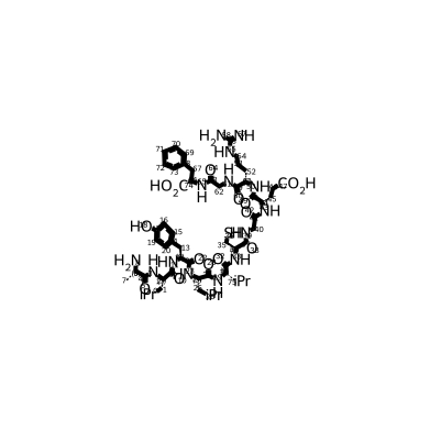 CC(C)C[C@H](NC(=O)[C@H](C)N)C(=O)N[C@@H](Cc1ccc(O)cc1)C(=O)N[C@@H](CC(C)C)C(=O)N[C@H](C(=O)N[C@@H](CS)C(=O)NCC(=O)N[C@@H](CCC(=O)O)C(=O)N[C@@H](CCCNC(=N)N)C(=O)NCC(=O)N[C@@H](Cc1ccccc1)C(=O)O)C(C)C